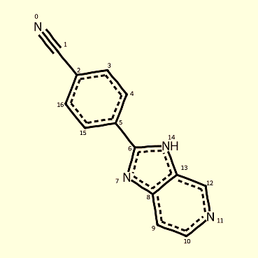 N#Cc1ccc(-c2nc3ccncc3[nH]2)cc1